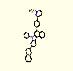 Cc1cccc(-c2ccc(-c3cc4c(c5ccccc35)c3ccc(-c5ccc6ccccc6c5)cc3n4-c3ccccc3)cc2)n1